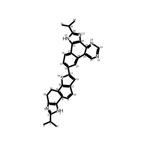 CC(C)c1nc2c([nH]1)-c1ccc3cc(-c4ccc5c(c4)c4cncnc4c4nc(C(C)C)[nH]c54)sc3c1CC2